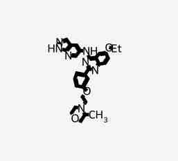 CCOc1ccc2nc(-c3cccc(OCCN4CCOCC4C)c3)nc(Nc3cnc4[nH]ncc4c3)c2c1